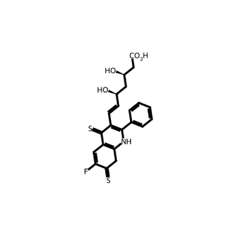 O=C(O)C[C@H](O)C[C@H](O)/C=C/c1c(-c2ccccc2)[nH]c2c(c1=S)C=C(F)C(=S)C2